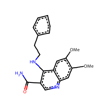 COc1cc2ncc(C(N)=O)c(NCCc3ccccc3)c2cc1OC